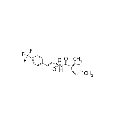 Cc1ccc(C(=O)NS(=O)(=O)/C=C/c2ccc(C(F)(F)F)cc2)c(C)c1